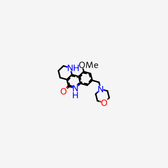 COc1cc(CN2CCOCC2)cc2[nH]c(=O)c3c(c12)NCCC3